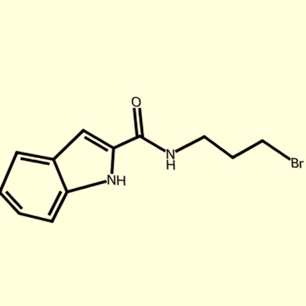 O=C(NCCCBr)c1cc2ccccc2[nH]1